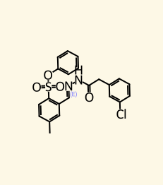 Cc1ccc(S(=O)(=O)Oc2ccccc2)c(/C=N/NC(=O)Cc2cccc(Cl)c2)c1